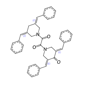 O=C1/C(=C/c2ccccc2)CN(C(=O)C(=O)N2C/C(=C\c3ccccc3)C/C(=C/c3ccccc3)C2)C/C1=C\c1ccccc1